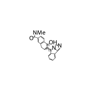 CNC(=O)c1ccc2c(c1)CC[C@H]([C@H]1c3ccccc3-c3cncn31)[C@H]2O